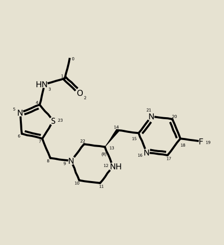 CC(=O)Nc1ncc(CN2CCN[C@H](Cc3ncc(F)cn3)C2)s1